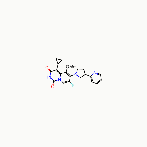 COc1c(N2CCC(c3ccccn3)C2)c(F)cn2c(=O)[nH]c(=O)c(C3CC3)c12